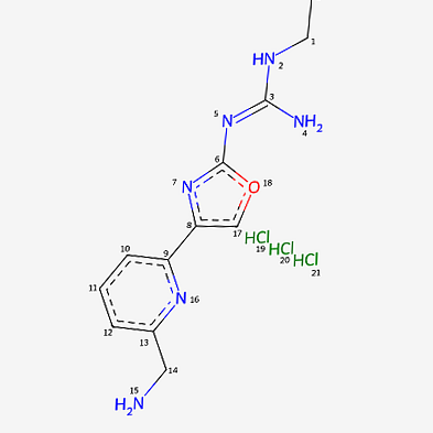 CCN/C(N)=N/c1nc(-c2cccc(CN)n2)co1.Cl.Cl.Cl